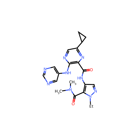 CCn1ncc(NC(=O)c2nc(C3CC3)cnc2Nc2cncnc2)c1C(=O)N(C)C